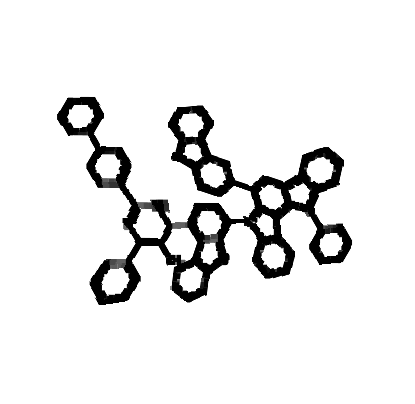 CC1=C(c2ccccc2)N=C(c2ccc(-c3ccccc3)cc2)NC1c1ccc(-n2c3ccccc3c3c2c(-c2ccc4oc5ccccc5c4c2)cc2c4ccccc4n(-c4ccccc4)c23)c2oc3ccccc3c12